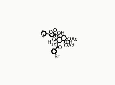 CC(=O)OC[C@@]1(C)C2C[C@H](OC(=O)c3cccc(Br)c3)[C@@]3(C)Oc4cc(-c5cccnc5)oc(=O)c4[C@H](O)C3[C@@]2(C)CC[C@@H]1OC(C)=O